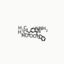 CCC(C)C(C(=O)O)c1ccc2nc(N)nc(C(=O)N3Cc4ccccc4C3)c2c1